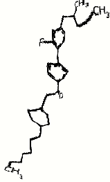 CCCCCCCC1CCC(CC(=O)c2ccc(-c3ccc(CC(C)CC)cc3F)cc2)CC1